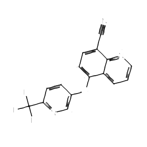 N#Cc1ccc(Oc2ccc(C(F)(F)F)nc2)c2cccnc12